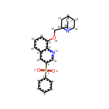 O=S(=O)(c1ccccc1)c1cnc2c(OCC3CC4CCN3CC4)cccc2c1